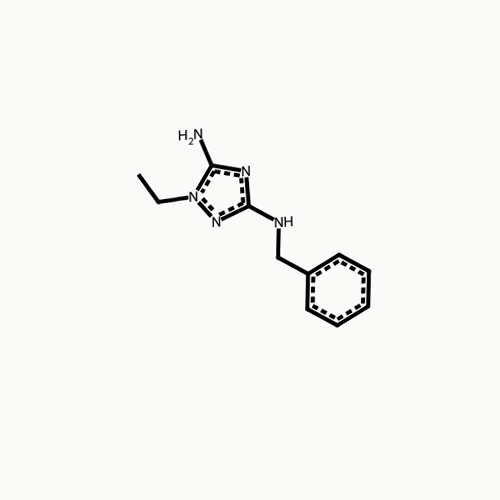 CCn1nc(NCc2ccccc2)nc1N